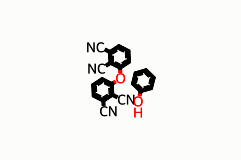 N#Cc1cccc(Oc2cccc(C#N)c2C#N)c1C#N.Oc1ccccc1